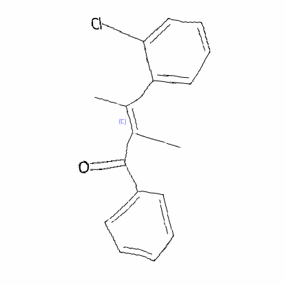 C/C(C(=O)c1ccccc1)=C(/C)c1ccccc1Cl